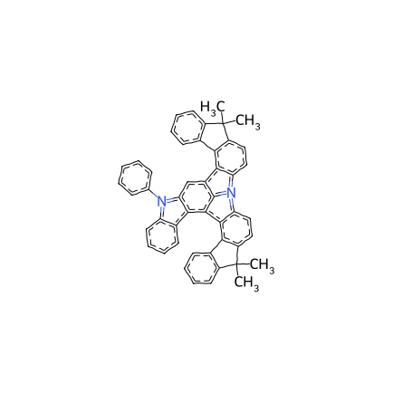 CC1(C)c2ccccc2-c2c1ccc1c2c2cc3c(c4ccccc4n3-c3ccccc3)c3c4c5c(ccc4n1c23)C(C)(C)c1ccccc1-5